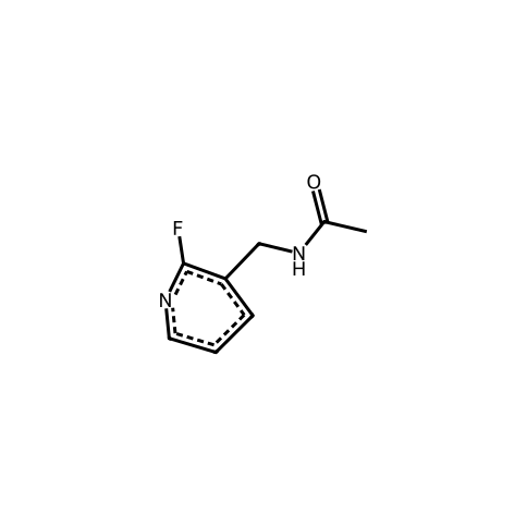 CC(=O)NCc1cccnc1F